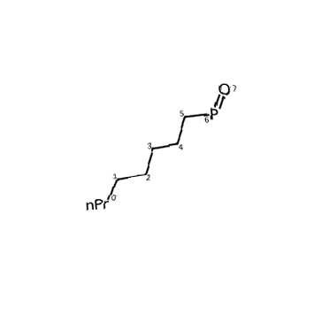 CCCCCCCCP=O